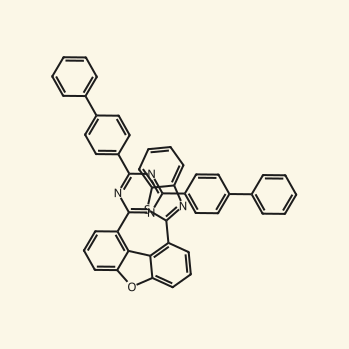 c1ccc(-c2ccc(-c3nc(-c4ccc(-c5ccccc5)cc4)nc(-c4cccc5oc6cccc(-c7nc8ccccc8s7)c6c45)n3)cc2)cc1